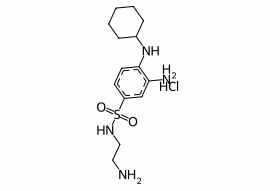 Cl.NCCNS(=O)(=O)c1ccc(NC2CCCCC2)c(N)c1